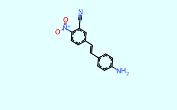 N#Cc1cc(/C=C/c2ccc(N)cc2)ccc1[N+](=O)[O-]